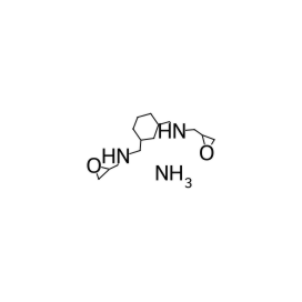 C1CC(CNCC2CO2)CC(CNCC2CO2)C1.N